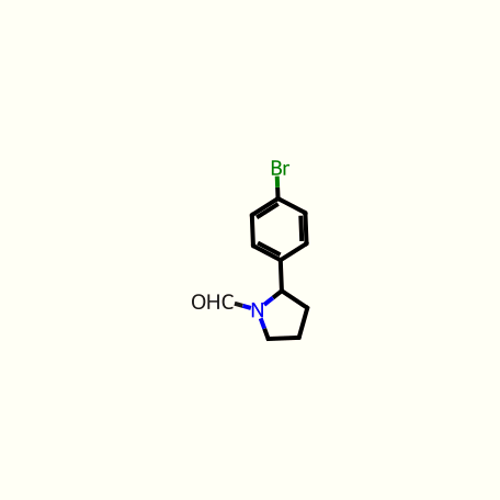 O=CN1CCCC1c1ccc(Br)cc1